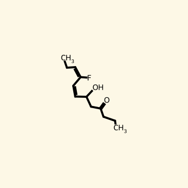 CC/C=C(F)\C=C/C(O)CC(=O)CCC